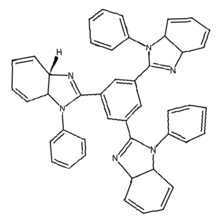 C1=CC2N=C(c3cc(C4=NC5C=CC=CC5N4c4ccccc4)cc(C4=N[C@H]5C=CC=CC5N4c4ccccc4)c3)N(c3ccccc3)C2C=C1